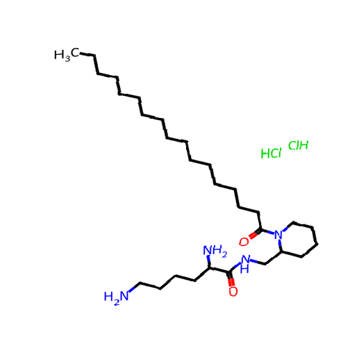 CCCCCCCCCCCCCCCCC(=O)N1CCCCC1CNC(=O)C(N)CCCCN.Cl.Cl